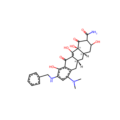 CN(C)c1cc(NCc2ccccc2)c(O)c2c1C[C@H]1C[C@H]3CC(O)C(C(N)=O)C(=O)[C@@]3(O)C(O)=C1C2=O